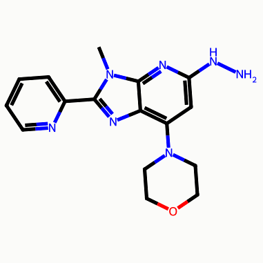 Cn1c(-c2ccccn2)nc2c(N3CCOCC3)cc(NN)nc21